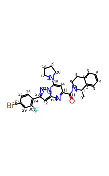 C[C@@H]1c2ccccc2CCN1C(=O)c1cc(N2CCCC2)n2nc(-c3ccc(Br)cc3F)cc2n1